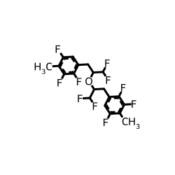 Cc1c(F)cc(CC(OC(Cc2cc(F)c(C)c(F)c2F)C(F)F)C(F)F)c(F)c1F